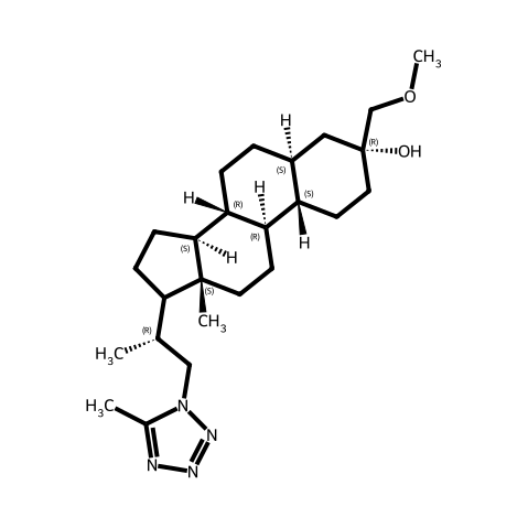 COC[C@@]1(O)CC[C@H]2[C@@H](CC[C@@H]3[C@@H]2CC[C@]2(C)C([C@@H](C)Cn4nnnc4C)CC[C@@H]32)C1